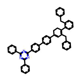 C1=C(c2ccc(-c3ccc(-c4nc(-c5ccccc5)nc(-c5ccccc5)n4)cc3)cc2)CCC(c2ccccc2Cc2ccccc2)=C1Cc1ccccc1